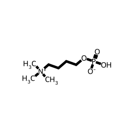 C[N+](C)(C)CCCCOP(=O)([O-])O